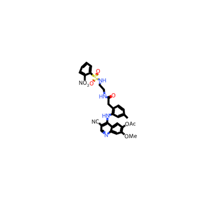 COc1cc2ncc(C#N)c(Nc3cc(C)ccc3CC(=O)NCCNS(=O)(=O)c3ccccc3[N+](=O)[O-])c2cc1OC(C)=O